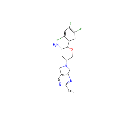 Cc1ncc2c(n1)CN([C@H]1COC(C3CC(F)=C(F)C=C3F)[C@@H](N)C1)C2